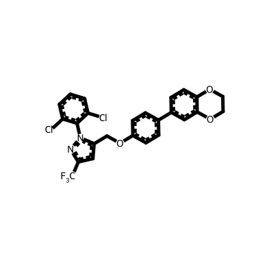 FC(F)(F)c1cc(COc2ccc(-c3ccc4c(c3)OCCO4)cc2)n(-c2c(Cl)cccc2Cl)n1